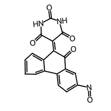 O=Nc1ccc2c(c1)C(=O)C(=C1C(=O)NC(=O)NC1=O)c1ccccc1-2